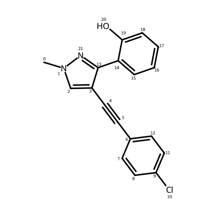 Cn1cc(C#Cc2ccc(Cl)cc2)c(-c2ccccc2O)n1